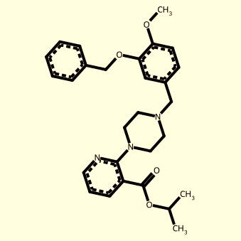 COc1ccc(CN2CCN(c3ncccc3C(=O)OC(C)C)CC2)cc1OCc1ccccc1